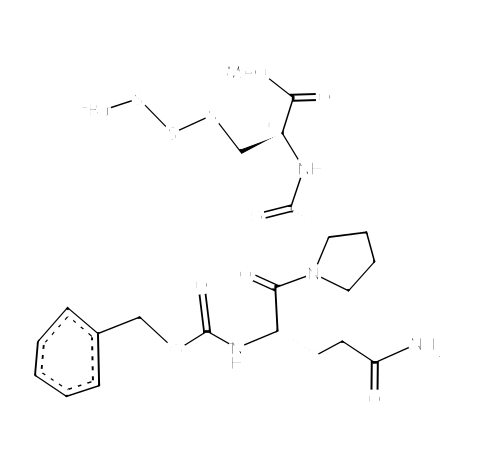 COC(=O)[C@H](CSSSC(C)(C)C)NC(=O)[C@@H]1CCCN1C(=O)[C@H](CCC(N)=O)NC(=O)OCc1ccccc1